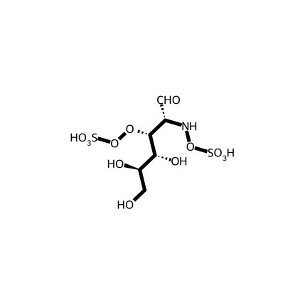 O=C[C@H](NOS(=O)(=O)O)[C@@H](OOS(=O)(=O)O)[C@H](O)[C@H](O)CO